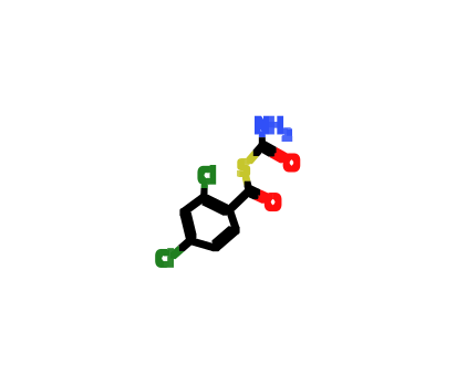 NC(=O)SC(=O)c1ccc(Cl)cc1Cl